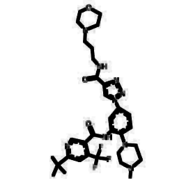 CN1CCN(c2ccc(-n3cc(C(=O)NCCCN4CCOCC4)nn3)cc2NC(=O)c2cnc(C(C)(C)C)cc2C(F)(F)F)CC1